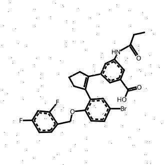 CCC(=O)Nc1cc(C(=O)O)cc(C2=C(c3cc(Br)ccc3OCc3ccc(F)cc3F)CCC2)c1